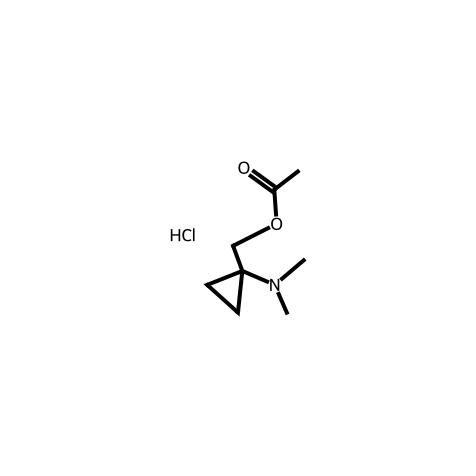 CC(=O)OCC1(N(C)C)CC1.Cl